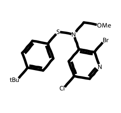 COCN(Sc1ccc(C(C)(C)C)cc1)c1cc(Cl)cnc1Br